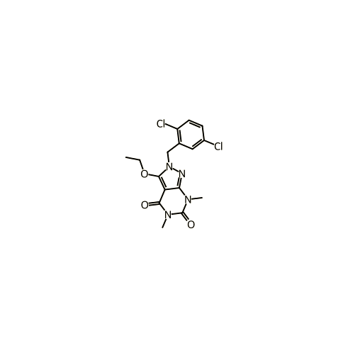 CCOc1c2c(=O)n(C)c(=O)n(C)c2nn1Cc1cc(Cl)ccc1Cl